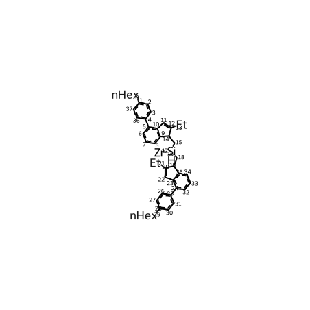 CCCCCCc1ccc(-c2cccc3c2C=C(CC)C3C[SiH]([Zr])CC2C(CC)=Cc3c(-c4ccc(CCCCCC)cc4)cccc32)cc1